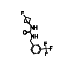 O=C(NCc1cccc(C(F)(F)F)c1)NC12CC(F)(C1)C2